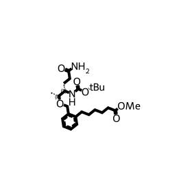 COC(=O)CCCCCc1ccccc1CO[C@H](C)[C@H](CCC(N)=O)NC(=O)OC(C)(C)C